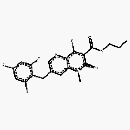 CCCNC(=O)c1c(O)c2ncc(Cc3c(F)cc(F)cc3F)cc2n(C)c1=O